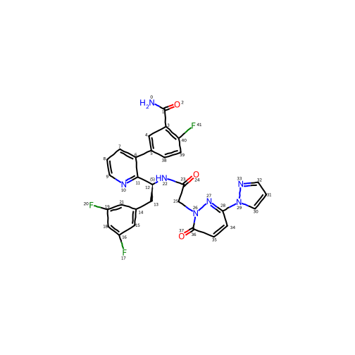 NC(=O)c1cc(-c2cccnc2[C@H](Cc2cc(F)cc(F)c2)NC(=O)Cn2nc(-n3cccn3)ccc2=O)ccc1F